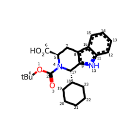 CC(C)(C)OC(=O)N1[C@@H](C(=O)O)Cc2c([nH]c3ccccc23)[C@@H]1C1CCCCC1